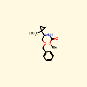 CCOC(=O)C1(C(COCc2ccccc2)NC(=O)OC(C)(C)C)CC1